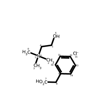 C[N+](C)(C)CCO.O=C(O)Cc1ccccc1.[Cl-]